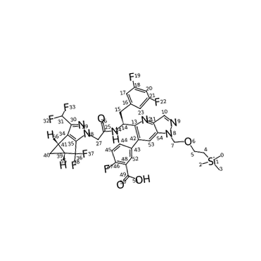 C[Si](C)(C)CCOCn1ncc2nc([C@H](Cc3cc(F)cc(F)c3)NC(=O)Cn3nc(C(F)F)c4c3C(F)(F)[C@@H]3C[C@H]43)c(-c3ccc(F)c(C(=O)O)c3)cc21